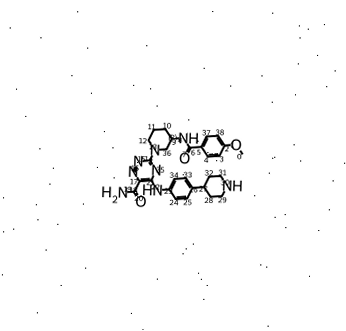 COc1ccc(C(=O)N[C@@H]2CCCN(c3nnc(C(N)=O)c(Nc4ccc(C5CCNCC5)cc4)n3)C2)cc1